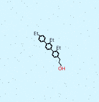 CCc1ccc(-c2ccc(-c3ccc(CCCO)cc3CC)cc2CC)cc1